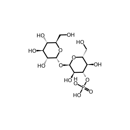 O=P(O)(O)O[C@@H]1[C@@H](O)[C@@H](O[C@H]2O[C@H](CO)[C@@H](O)[C@H](O)[C@H]2O)O[C@H](CO)[C@H]1O